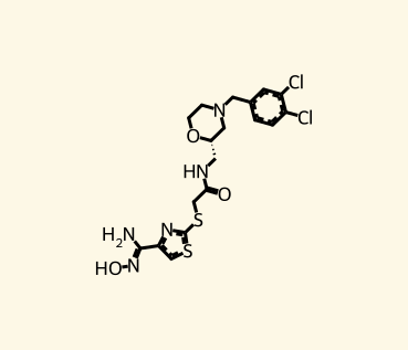 NC(=NO)c1csc(SCC(=O)NC[C@H]2CN(Cc3ccc(Cl)c(Cl)c3)CCO2)n1